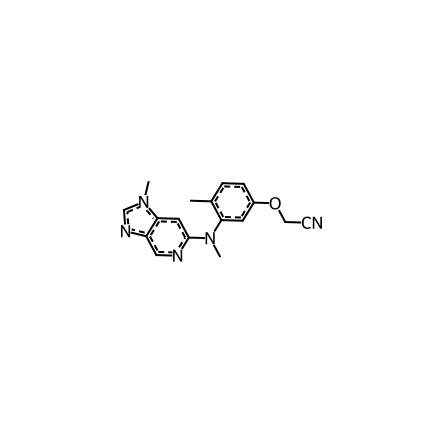 Cc1ccc(OCC#N)cc1N(C)c1cc2c(cn1)ncn2C